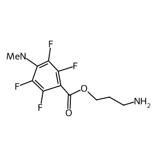 CNc1c(F)c(F)c(C(=O)OCCCN)c(F)c1F